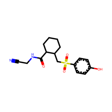 N#CCNC(=O)C1CCCCC1CS(=O)(=O)c1ccc(O)cc1